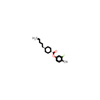 C=CCCC[C@H]1CC[C@H](C(=O)Oc2ccc(C#N)c(F)c2)CC1